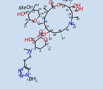 Bn1cc(CCN(C)[C@H]2C[C@@H](C)O[C@@H](O[C@@H]3[C@@H](C)[C@H](C4C[C@@](C)(OC)[C@@H](O)[C@H](C)O4)[C@@H](C)C(=O)O[C@H](CC)[C@@](C)(O)[C@H](O)[C@@H](C)N(C)C[C@H](C)C[C@@]3(C)O)[C@@H]2O)nn1